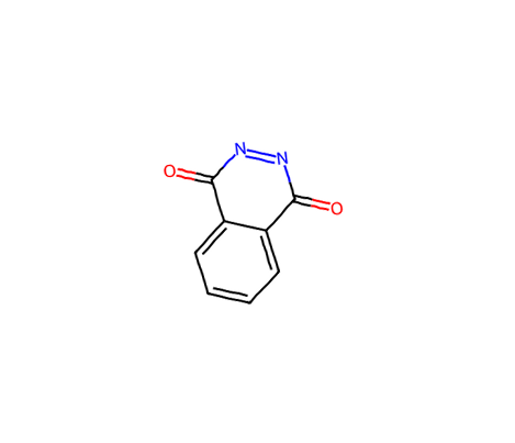 O=C1N=NC(=O)c2ccccc21